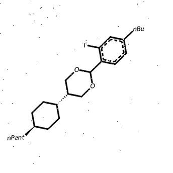 CCCCC[C@H]1CC[C@H](C2COC(c3ccc(CCCC)cc3F)OC2)CC1